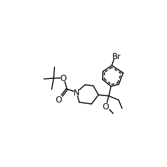 CCC(OC)(c1ccc(Br)cc1)C1CCN(C(=O)OC(C)(C)C)CC1